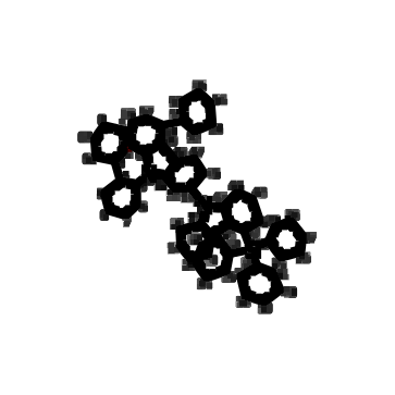 c1ccc(-c2ccccc2-n2c3cc(-n4c5ccccc5c5c([Si](c6ccccc6)(c6ccccc6)c6ccccc6)cccc54)ccc3c3c(-c4ccccc4)cccc32)cc1